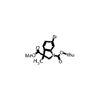 COC(=O)C1(C)CN(C(=O)OC(C)(C)C)c2cc(Br)ccc21